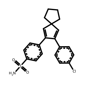 NS(=O)(=O)c1ccc(C2=CC3(C=C2c2ccc(Cl)cc2)CCCC3)cc1